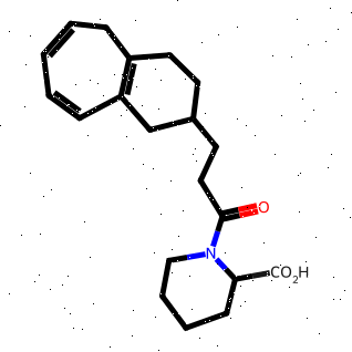 O=C(O)C1CCCCN1C(=O)CCC1CCC2=C(C=CC=CC2)C1